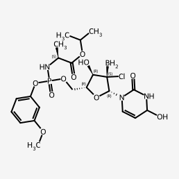 B[C@]1(Cl)[C@H](O)[C@@H](COP(=O)(N[C@@H](C)C(=O)OC(C)C)Oc2cccc(OC)c2)O[C@H]1N1C=CC(O)NC1=O